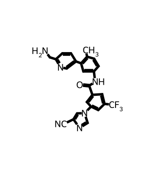 Cc1ccc(NC(=O)c2cc(-n3cnc(C#N)c3)cc(C(F)(F)F)c2)cc1-c1ccc(CN)nc1